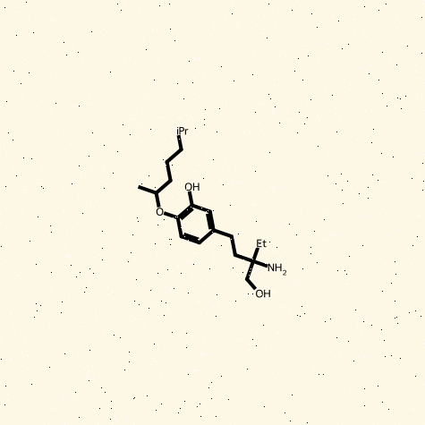 CCC(N)(CO)CCc1ccc(OC(C)CCCC(C)C)c(O)c1